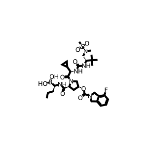 CCC[C@H](NC(=O)[C@@H]1C[C@@H](OC(=O)N2Cc3cccc(F)c3C2)CN1C(=O)[C@@H](NC(=O)N[C@H](CN(C)S(C)(=O)=O)C(C)(C)C)C1CC1)B(O)O